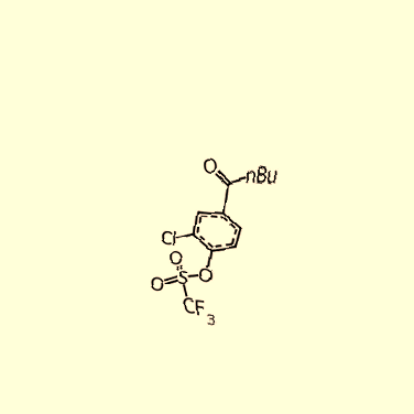 CCCCC(=O)c1ccc(OS(=O)(=O)C(F)(F)F)c(Cl)c1